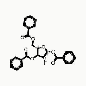 O=C(OC[C@H]1O[C@H](OC(=O)c2ccccc2)[C@H](F)C1OC(=O)c1ccccc1)c1ccccc1